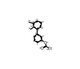 CCC(=O)Oc1cccc(-c2cccc(C)c2C)c1